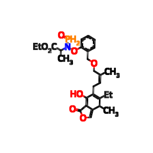 CCOC(=O)C(C)N(Oc1ccccc1COCC(C)=CCC1=C(CC)C(C)C2=COC(=O)C2=C1O)[PH2]=O